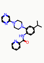 CC(C)c1ccc(NC(=O)c2ccccn2)c(N2CCN(c3cnccn3)CC2)c1